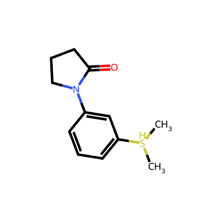 C[SH](C)c1cccc(N2CCCC2=O)c1